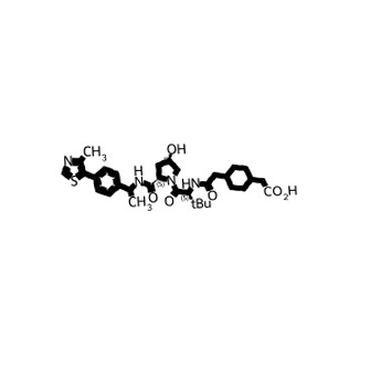 Cc1ncsc1-c1ccc(C(C)NC(=O)[C@@H]2C[C@@H](O)CN2C(=O)[C@@H](NC(=O)CC2CCC(CC(=O)O)CC2)C(C)(C)C)cc1